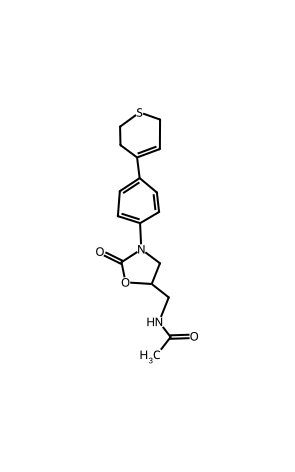 CC(=O)NCC1CN(c2ccc(C3=CCSCC3)cc2)C(=O)O1